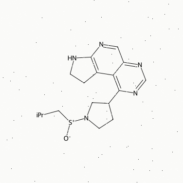 CC(C)C[S+]([O-])N1CCC(c2ncnc3cnc4c(c23)CCN4)C1